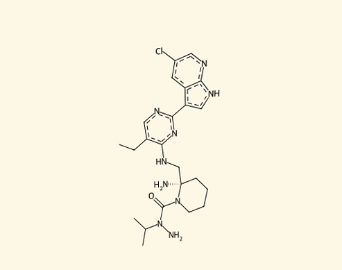 CCc1cnc(-c2c[nH]c3ncc(Cl)cc23)nc1NC[C@@]1(N)CCCCN1C(=O)N(N)C(C)C